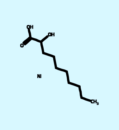 CCCCCCCCC(O)C(=O)O.[Ni]